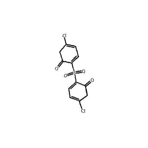 O=C1CC(Cl)=CC=C1S(=O)(=O)C1=CC=C(Cl)CC1=O